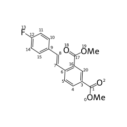 COC(=O)c1ccc(C=Cc2ccc(F)cc2)c(C(=O)OC)c1